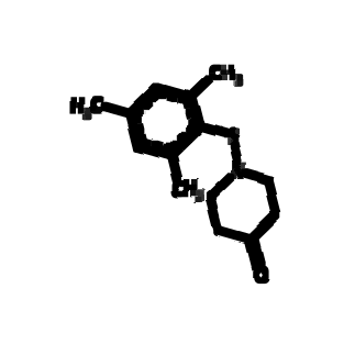 Cc1cc(C)c(SN2CCC(=O)CC2)c(C)c1